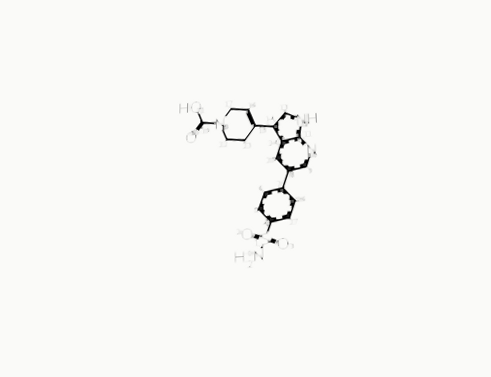 NS(=O)(=O)c1ccc(-c2cnc3[nH]cc(C4=CCN(C(=O)O)CC4)c3c2)cc1